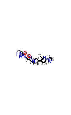 CCNC(=O)Nc1cc(CN2CCC(c3ccc(-n4cccn4)nc3C)CC2)no1